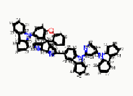 c1ccc2c(c1)Oc1ccc(-n3c4ccccc4c4ccccc43)cc1C21c2cccnc2-c2ncc(-c3ccc4c(c3)c3ccccc3n4-c3cc(-n4c5ccccc5c5ccccc54)ccn3)cc21